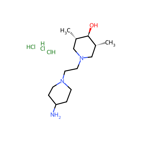 C[C@@H]1CN(CCN2CCC(N)CC2)C[C@H](C)[C@H]1O.Cl.Cl.Cl